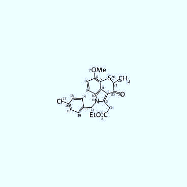 CCOC(=O)Cc1c2c3c(c(OC)ccc3n1Cc1ccc(Cl)cc1)SC(C)C2=O